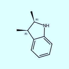 C[C@@H]1c2ccccc2N[C@@H]1C